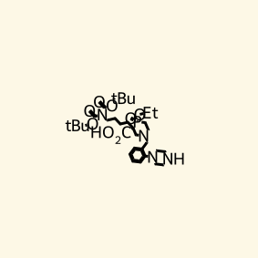 CCOP1(=O)CCN(Cc2ccccc2N2CCNCC2)CC1(CCCCN(C(=O)OC(C)(C)C)C(=O)OC(C)(C)C)C(=O)O